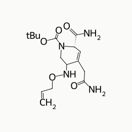 C=CCONC1CN(C(=O)OC(C)(C)C)[C@H](C(N)=O)C=C1CC(N)=O